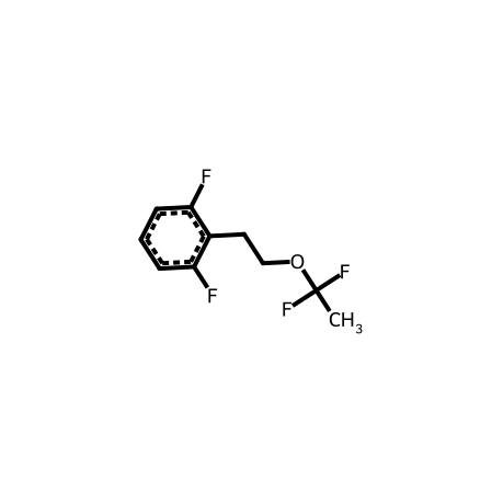 CC(F)(F)OCCc1c(F)cccc1F